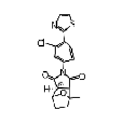 CC12CCC(O1)[C@H]1C(=O)N(c3ccc(-c4nccs4)c(Cl)c3)C(=O)C12